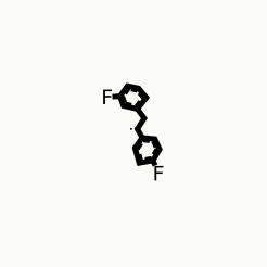 Fc1ccc([CH]Cc2cccc(F)c2)cc1